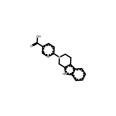 O=C(O)c1ccc(N2CCc3c([nH]c4ccccc34)C2)nc1